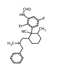 CCc1c(NC=O)cc(F)cc1C1(C#N)C(C)CCCC1CN(C)Cc1ccccc1